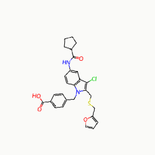 O=C(O)c1ccc(Cn2c(CSCc3ccco3)c(Cl)c3cc(NC(=O)C4CCCC4)ccc32)cc1